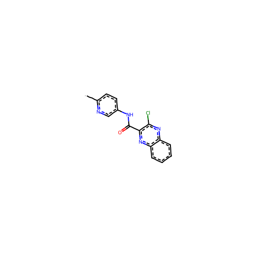 [CH2]c1ccc(NC(=O)c2nc3ccccc3nc2Cl)cn1